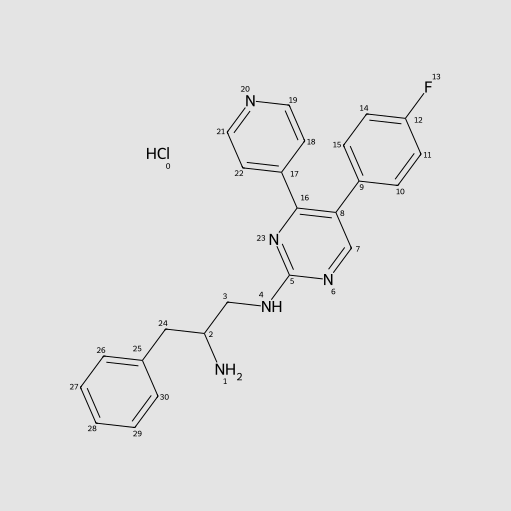 Cl.NC(CNc1ncc(-c2ccc(F)cc2)c(-c2ccncc2)n1)Cc1ccccc1